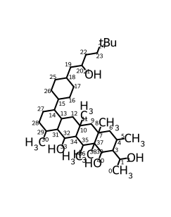 CC(O)C1C(C)CC2(C)CC3(C)CC4C(C5CCC(CC(O)CCC(C)(C)C)CC5)CCC(C)C4C(O)C3C(C)C2(C)C1O